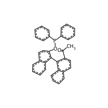 CC(=O)c1ccc2ccccc2c1-c1c(OP(c2ccccc2)c2ccccc2)ccc2ccccc12